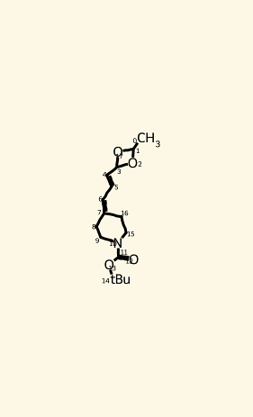 CC1OC(/C=C/C=C2CCN(C(=O)OC(C)(C)C)CC2)O1